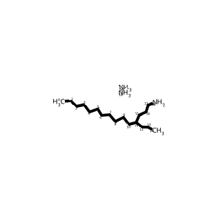 CCCCCCCCCCCC(CCC)CCCN.N.N